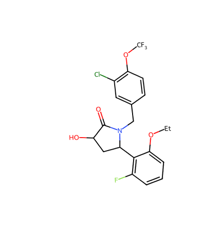 CCOc1cccc(F)c1C1CC(O)C(=O)N1Cc1ccc(OC(F)(F)F)c(Cl)c1